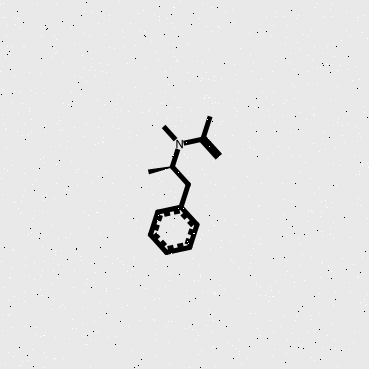 C=C(C)N(C)[C@H](C)Cc1ccccc1